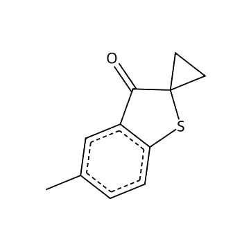 Cc1ccc2c(c1)C(=O)C1(CC1)S2